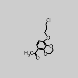 CC(=O)c1ccc(OCCCCl)c2c1OCCO2